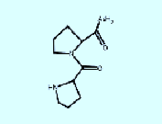 O=C([AsH2])C1CCCN1C(=O)C1CCCN1